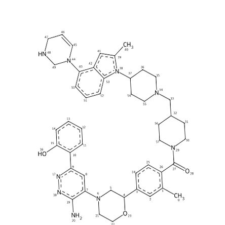 Cc1cc(C2CN(c3cc(-c4ccccc4O)nnc3N)CCO2)ccc1C(=O)N1CCC(CN2CCC(n3c(C)cc4c(N5C=CCNC5)cccc43)CC2)CC1